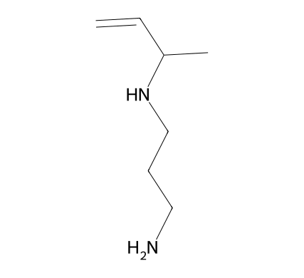 C=CC(C)NCCCN